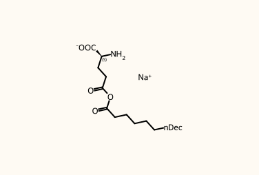 CCCCCCCCCCCCCCCC(=O)OC(=O)CC[C@H](N)C(=O)[O-].[Na+]